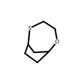 C1CSC2CCC(C2)O1